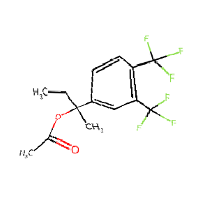 CCC(C)(OC(C)=O)c1ccc(C(F)(F)F)c(C(F)(F)F)c1